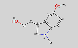 COc1ccc2c(c1)c(CCO)cn2C